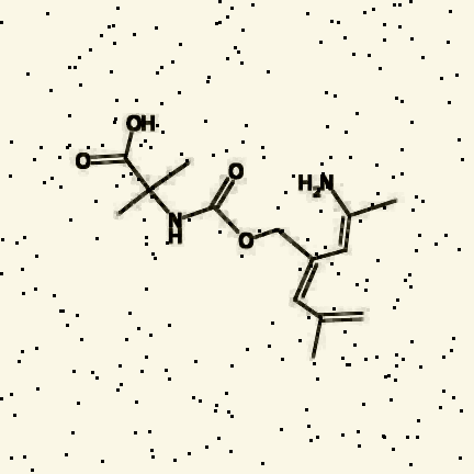 C=C(C)/C=C(\C=C(\C)N)COC(=O)NC(C)(C)C(=O)O